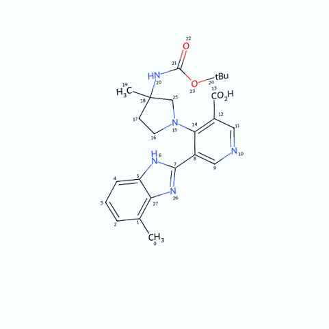 Cc1cccc2[nH]c(-c3cncc(C(=O)O)c3N3CCC(C)(NC(=O)OC(C)(C)C)C3)nc12